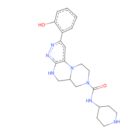 O=C(NC1CCNCC1)N1CCN2c3cc(-c4ccccc4O)nnc3NCC2C1